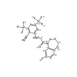 N#Cc1c(C(F)(F)F)cc(C(F)(F)F)nc1NCC(=O)N1CCCOc2ccc(F)cc21